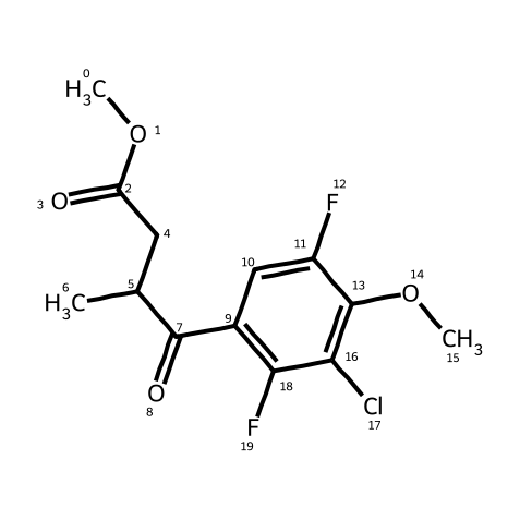 COC(=O)CC(C)C(=O)c1cc(F)c(OC)c(Cl)c1F